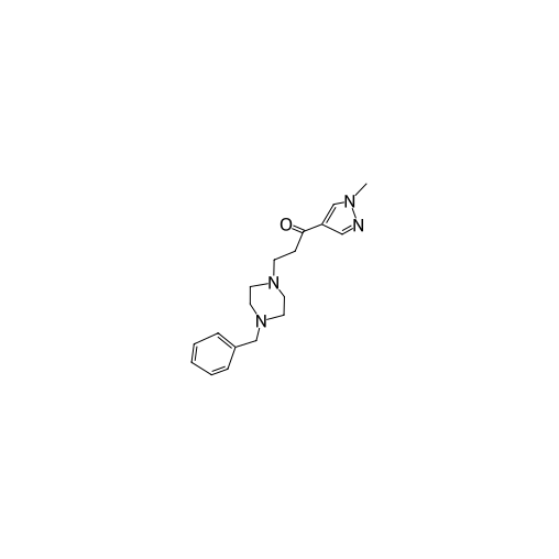 Cn1cc(C(=O)CCN2CCN(Cc3ccccc3)CC2)cn1